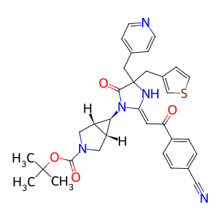 CC(C)(C)OC(=O)N1C[C@@H]2[C@H](C1)[C@H]2N1C(=O)C(Cc2ccncc2)(Cc2ccsc2)NC1=CC(=O)c1ccc(C#N)cc1